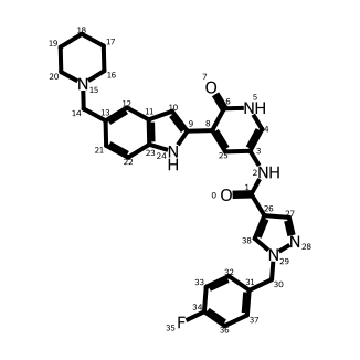 O=C(Nc1c[nH]c(=O)c(-c2cc3cc(CN4CCCCC4)ccc3[nH]2)c1)c1cnn(Cc2ccc(F)cc2)c1